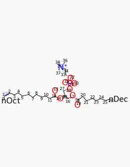 CCCCCCCC/C=C\CCCCCCCCCC(=O)O[C@H](COC(=O)CCCCCCCCCCCCCCCC)COP(=O)([O-])OCC[N+](C)(C)C